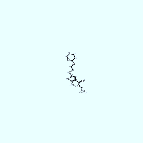 CCOC(=O)c1cc(OCCOC2CCCCO2)nn1C